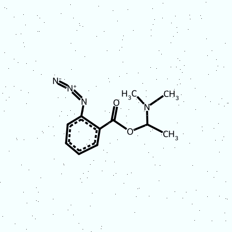 CC(OC(=O)c1ccccc1N=[N+]=[N-])N(C)C